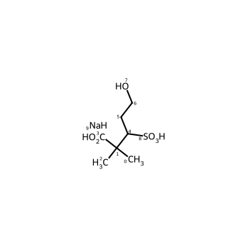 CC(C)(C(=O)O)C(CCO)S(=O)(=O)O.[NaH]